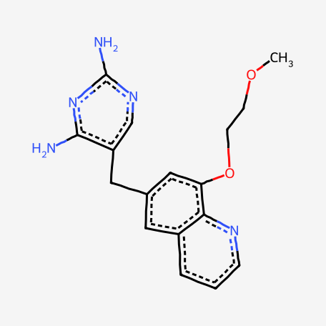 COCCOc1cc(Cc2cnc(N)nc2N)cc2cccnc12